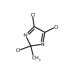 CC1(Cl)N=C(Cl)C(Cl)=[N+]1